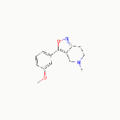 COc1cccc(-c2onc3c2CN(C)CC3)c1